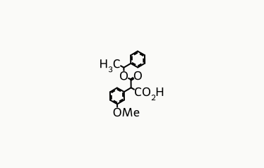 COc1cccc(C(C(=O)O)C(=O)OC(C)c2ccccc2)c1